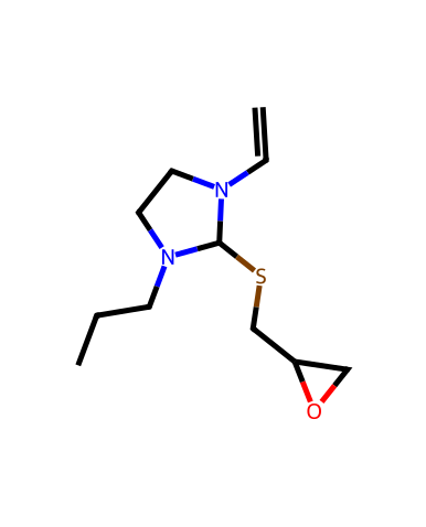 C=CN1CCN(CCC)C1SCC1CO1